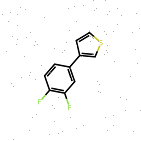 Fc1ccc(-c2c[c]sc2)cc1F